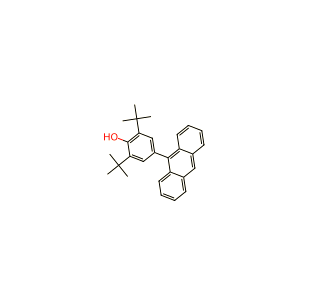 CC(C)(C)c1cc(-c2c3ccccc3cc3ccccc23)cc(C(C)(C)C)c1O